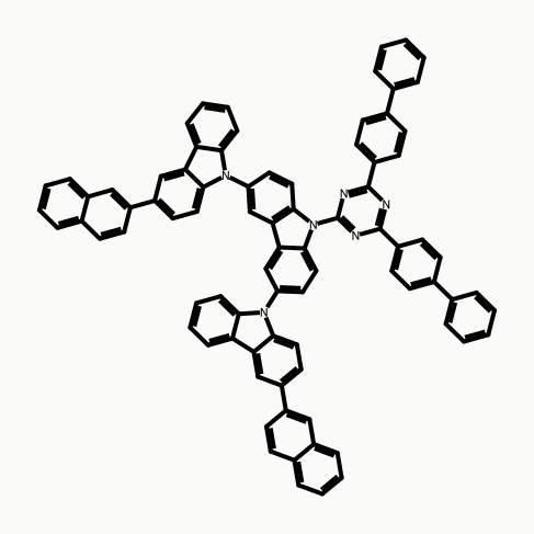 c1ccc(-c2ccc(-c3nc(-c4ccc(-c5ccccc5)cc4)nc(-n4c5ccc(-n6c7ccccc7c7cc(-c8ccc9ccccc9c8)ccc76)cc5c5cc(-n6c7ccccc7c7cc(-c8ccc9ccccc9c8)ccc76)ccc54)n3)cc2)cc1